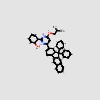 CCCCC(CC)COc1cc(C2=CC=C3c4cc5ccccc5cc4C(C4=CC=CCC4)(c4ccccc4)C3C2)nc(C2C=CC=CC2O)n1